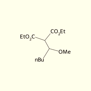 CCCCC(OC)C(C(=O)OCC)C(=O)OCC